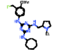 CCN1CCCC1CNc1nc(Nc2ccc(OC)c(CF)c2)nc(NC2CCCCCC2)n1